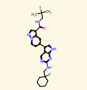 CC(C)(F)CNC(=O)c1cnn2ccc(-c3c[nH]c4nc(NCC5(F)CCCCC5)ncc34)cc12